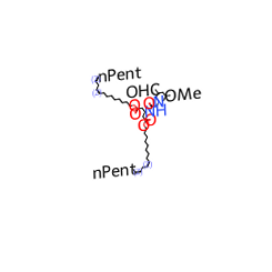 CCCCC/C=C\C/C=C\CCCCCCCCOC(=O)CC(CC(=O)OCCCCCCCC/C=C\C/C=C\CCCCC)NC(=O)CN1CC(C=O)CC(OC)C1